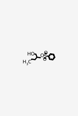 CCCC(CO)COS(=O)(=O)c1ccccc1